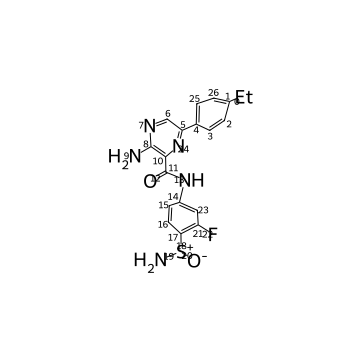 CCc1ccc(-c2cnc(N)c(C(=O)Nc3ccc([S+](N)[O-])c(F)c3)n2)cc1